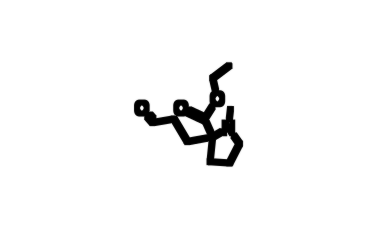 CCOC(=O)C1(CCC=O)CCCN1C